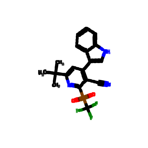 CC(C)(C)c1cc(-c2c[nH]c3ccccc23)c(C#N)c(S(=O)(=O)C(F)(F)F)n1